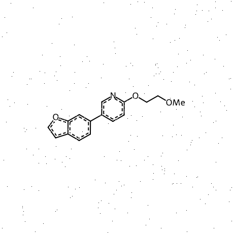 COCCOc1ccc(-c2ccc3ccoc3c2)cn1